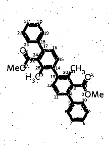 COC(=O)c1c(-c2ccccc2)ccc(-c2ccc(-c3ccccc3)c(C(=O)OC)c2C)c1C